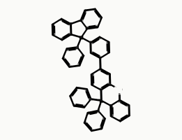 c1ccc(C2(c3ccccc3)c3ccccc3Oc3cc(-c4cccc(C5(c6ccccc6)c6ccccc6-c6ccccc65)c4)ccc32)cc1